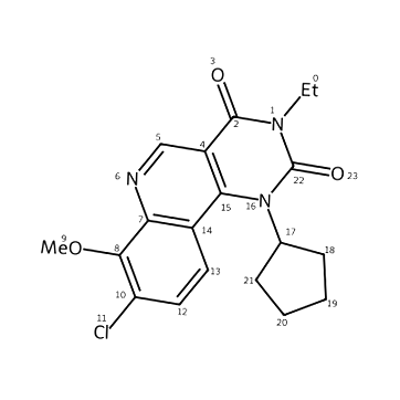 CCn1c(=O)c2cnc3c(OC)c(Cl)ccc3c2n(C2CCCC2)c1=O